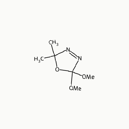 COC1(OC)N=NC(C)(C)O1